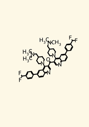 CN(C)CC1CCN(c2c(C(=O)c3cnc4ccc(-c5ccc(C(F)F)cc5)cc4c3N3CCC(CN(C)C)CC3)cnc3ccc(-c4ccc(C(F)F)cc4)cc23)CC1